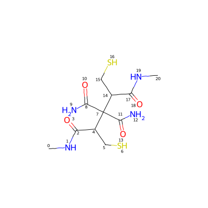 CNC(=O)C(CS)C(C(N)=O)(C(N)=O)C(CS)C(=O)NC